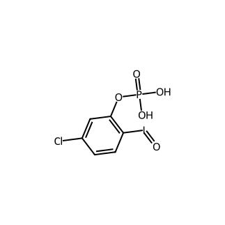 O=Ic1ccc(Cl)cc1OP(=O)(O)O